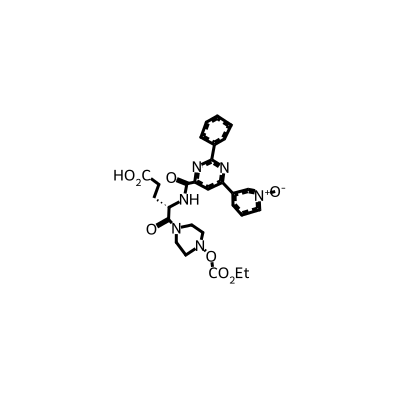 CCOC(=O)ON1CCN(C(=O)[C@H](CCC(=O)O)NC(=O)c2cc(-c3ccc[n+]([O-])c3)nc(-c3ccccc3)n2)CC1